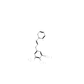 CC(C)(C)c1cc(CC=CC2C=CC=CC2)cc(C(C)(C)C)c1O